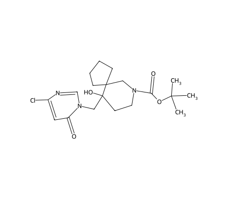 CC(C)(C)OC(=O)N1CCC(O)(Cn2cnc(Cl)cc2=O)C2(CCCC2)C1